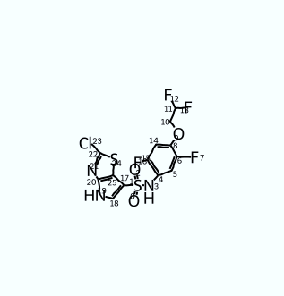 O=S(=O)(Nc1cc(F)c(OCC(F)F)cc1F)c1c[nH]c2nc(Cl)sc12